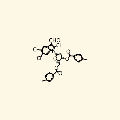 Cc1ccc(C(=O)OC[C@H]2O[C@@H](n3c(Cl)c(C=O)c4cc(Cl)c(Cl)cc43)C[C@@H]2OC(=O)c2ccc(C)cc2)cc1